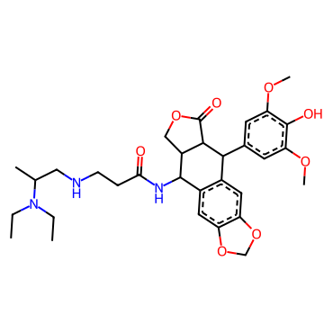 CCN(CC)C(C)CNCCC(=O)NC1c2cc3c(cc2C(c2cc(OC)c(O)c(OC)c2)C2C(=O)OCC12)OCO3